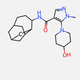 Cn1ncc(C(=O)NC2CCC3CC4CC(C3)C2C4)c1N1CCC(O)CC1